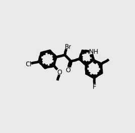 COc1cc(Cl)ccc1C(Br)C(=O)c1c[nH]c2c(C)cc(F)cc12